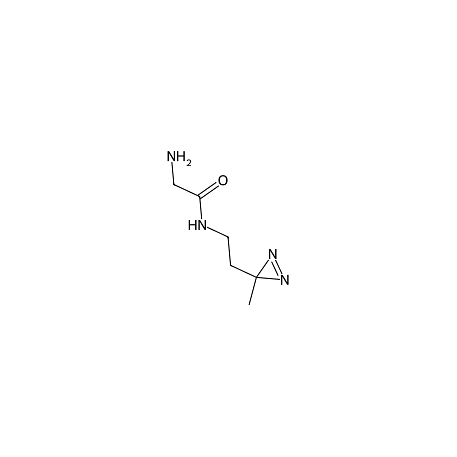 CC1(CCNC(=O)CN)N=N1